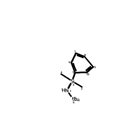 CC(C)(C)N[Si](C)(C)c1ccccc1